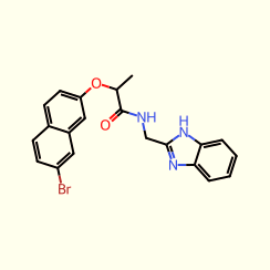 CC(Oc1ccc2ccc(Br)cc2c1)C(=O)NCc1nc2ccccc2[nH]1